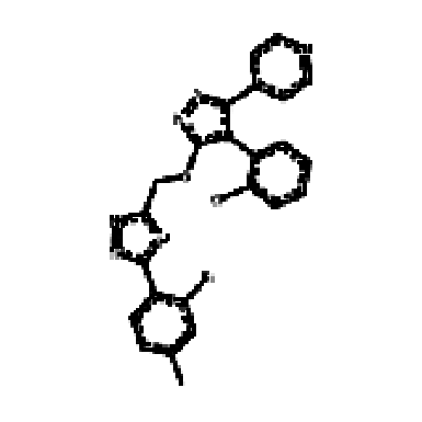 Cc1ccc(-c2nnc(CSc3nnc(-c4ccncc4)n3-c3ccccc3Cl)o2)c(Br)c1